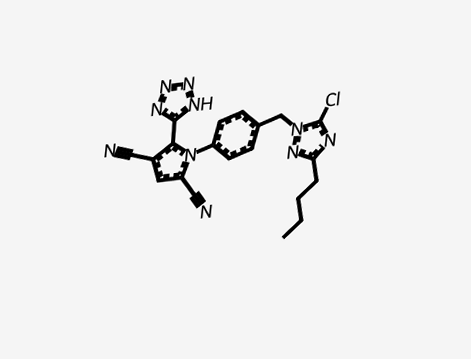 CCCCc1nc(Cl)n(Cc2ccc(-n3c(C#N)cc(C#N)c3-c3nnn[nH]3)cc2)n1